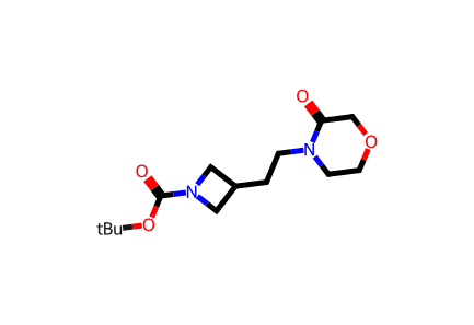 CC(C)(C)OC(=O)N1CC(CCN2CCOCC2=O)C1